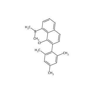 CB(C)c1cccc2ccc(-c3c(C)cc(C)cc3C)c(Cl)c12